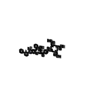 Cc1c(/C=C/c2cc(OCCNC(=O)C3CCN(C(=O)CN4CCN(CC(=O)O)CCN(CC(=O)O)CCN(CC(=O)O)CC4)CC3)c(CN3CCCC[C@H]3C(=O)O)cc2C(F)(F)F)cccc1-c1ccccc1